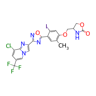 Cc1cc(-c2nc(-c3cn4cc(C(F)(F)F)cc(Cl)c4n3)no2)c(I)cc1OCC1COC(=O)N1